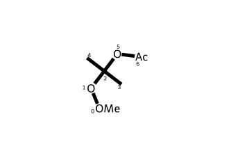 COOC(C)(C)OC(C)=O